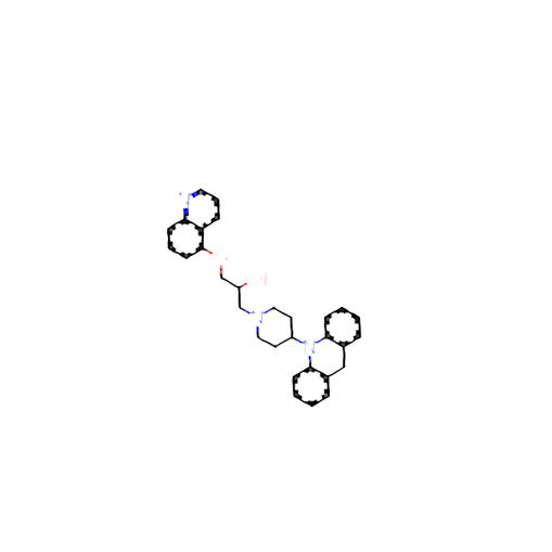 OC(COc1cccc2ncccc12)CN1CCC(N2c3ccccc3Cc3ccccc32)CC1